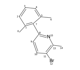 Cc1cccc(C)c1-c1ccc(Br)c(C)n1